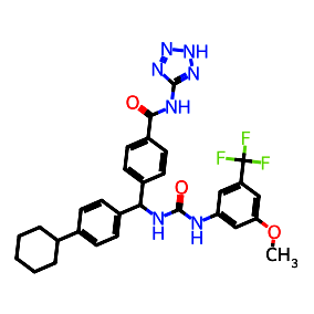 COc1cc(NC(=O)NC(c2ccc(C(=O)Nc3nn[nH]n3)cc2)c2ccc(C3CCCCC3)cc2)cc(C(F)(F)F)c1